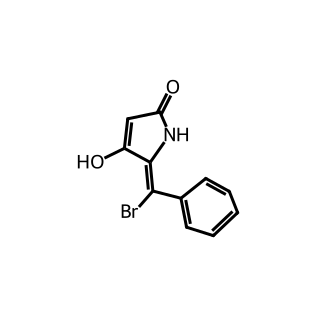 O=C1C=C(O)C(=C(Br)c2ccccc2)N1